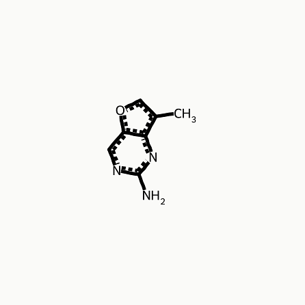 Cc1coc2cnc(N)nc12